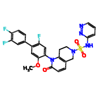 COc1cc(-c2ccc(F)c(F)c2)c(F)cc1-n1c2c(ccc1=O)CN(S(=O)(=O)Nc1cccnn1)CC2